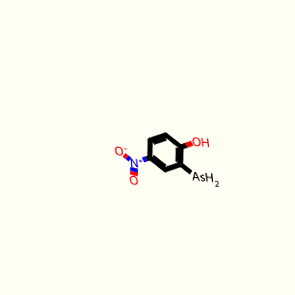 O=[N+]([O-])c1ccc(O)c([AsH2])c1